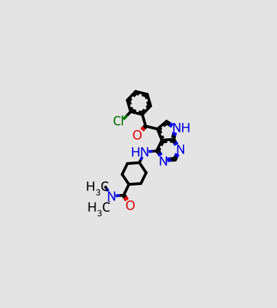 CN(C)C(=O)C1CCC(Nc2ncnc3[nH]cc(C(=O)c4ccccc4Cl)c23)CC1